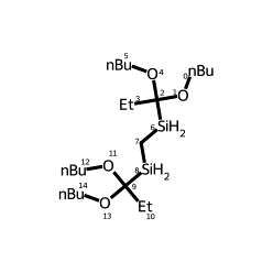 CCCCOC(CC)(OCCCC)[SiH2]C[SiH2]C(CC)(OCCCC)OCCCC